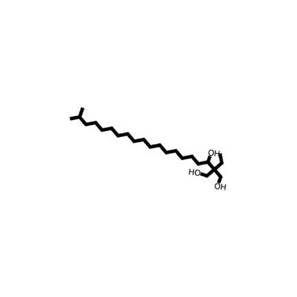 CCC(CO)(CO)C(O)CCCCCCCCCCCCCCCC(C)C